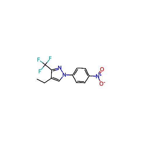 CCc1cn(-c2ccc([N+](=O)[O-])cc2)nc1C(F)(F)F